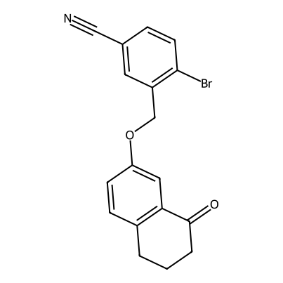 N#Cc1ccc(Br)c(COc2ccc3c(c2)C(=O)CCC3)c1